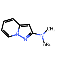 CCCCN(C)c1cc2ccccn2n1